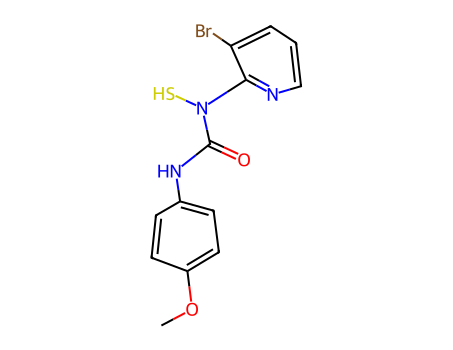 COc1ccc(NC(=O)N(S)c2ncccc2Br)cc1